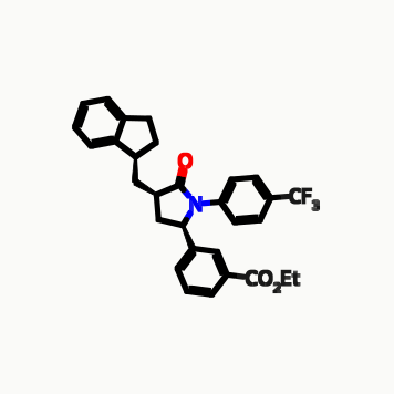 CCOC(=O)c1cccc([C@H]2C[C@@H](C[C@@H]3CCc4ccccc43)C(=O)N2c2ccc(C(F)(F)F)cc2)c1